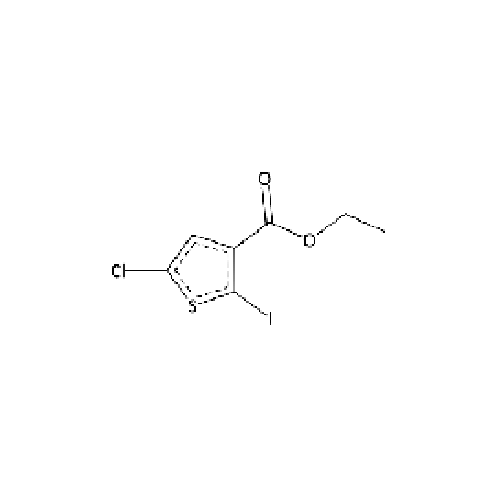 CCOC(=O)c1cc(Cl)sc1I